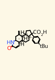 C=C1CC2NC(=O)C=C[C@]2(C)[C@@H]2CC[C@@]3(C)[C@@H](CCC3(C(=O)O)c3ccc(C(C)(C)C)cc3)[C@H]12